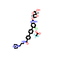 O=C(NCCC[N+]12CCN(CC1)CC2)c1ccc(-c2ccc(-c3cc4nc(O[C@@H]5CO[C@H]6[C@@H]5OC[C@H]6O)[nH]c4cc3Cl)cc2)cc1.O=C([O-])C(F)(F)F